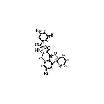 O=C1[C@@H](NS(=O)(=O)c2cc(F)cc(F)c2)Cc2cc(Br)ccc2N1Cc1ccccc1